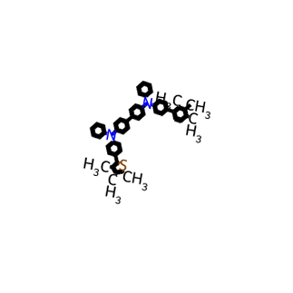 Cc1c#cc(-c2ccc(N(c3ccccc3)c3ccc(-c4ccc(N(c5ccccc5)c5ccc(-c6sc(C)c(C)c6C)cc5)cc4)cc3)cc2)c(C)c1C